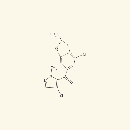 Cn1ncc(Cl)c1C(=O)c1cc(Cl)c2c(c1)OC(C(=O)O)O2